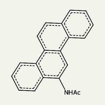 CC(=O)Nc1cc2c3ccccc3ccc2c2ccccc12